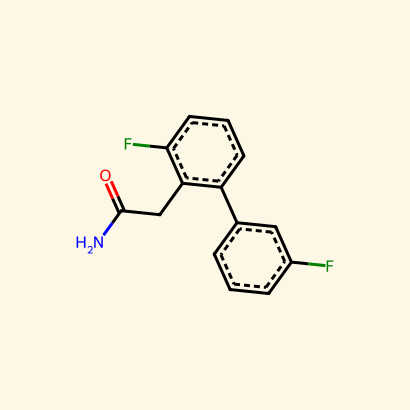 NC(=O)Cc1c(F)cccc1-c1cccc(F)c1